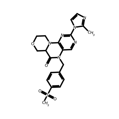 Cc1nccn1-c1ncc2c(n1)N1CCOCC1C(=O)N2Cc1ccc(S(C)(=O)=O)cc1